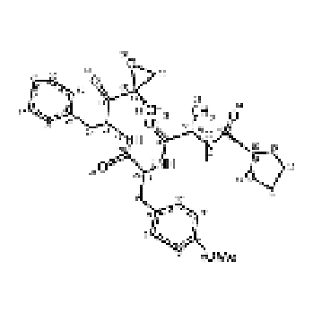 COc1ccc(C[C@H](NC(=O)[C@H](C)NC(=O)[C@H]2CCCO2)C(=O)NC(Cc2ccccc2)C(=O)[C@@]2(C)CO2)cc1